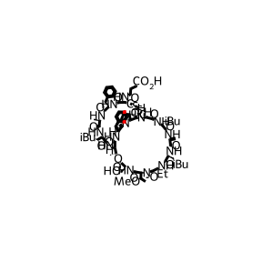 C=C1NC(=O)C([C@@H](C)CC)NC(=O)[C@@H]2CSSC[C@H](NC(=O)CCC(=O)O)C(=O)N[C@H](Cc3ccccc3)C(=O)N[C@H](C)C(=O)NC(C[C@@H](C)CC)C(=O)N[C@@H](C(=O)N[C@H](Cc3ccccc3)C(=O)N3CCC[C@H]3C(=O)N2)[C@@H](C)OC(=O)[C@H](CO)NC(=O)[C@H]([C@@H](C)OC)N(C)C(=O)C(CC)NC(=O)[C@H](C[C@H](C)CC)NC1=O